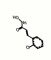 O=C(C=Cc1ccccc1Cl)NO